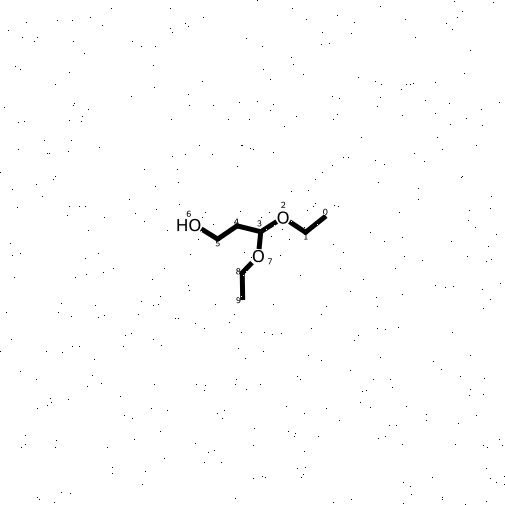 CCOC(CCO)OCC